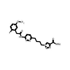 CNC(=O)c1cn(CCCCc2ccc(NC(=O)Cc3cc(OC(F)(F)F)ccc3F)nn2)nn1